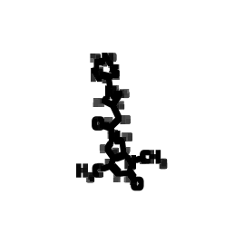 Cc1cc(=O)n(C)c2c1CN(C(=O)CC1CN(c3ncns3)C1)C2